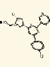 OC[C@@H]1CN(c2cc(-c3ccc(Cl)cc3)nc(-c3cccnc3)n2)C[C@H]1O